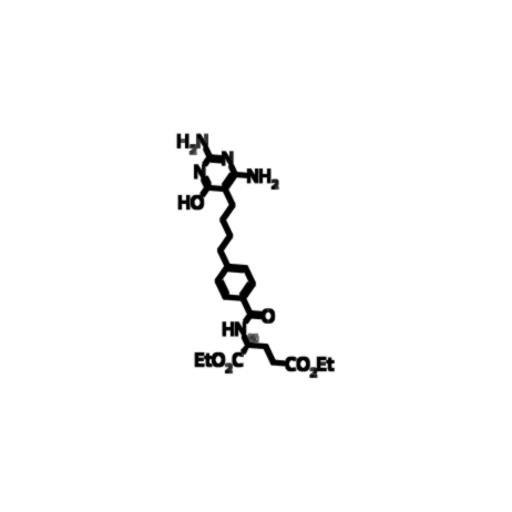 CCOC(=O)CC[C@H](NC(=O)c1ccc(CCCCc2c(N)nc(N)nc2O)cc1)C(=O)OCC